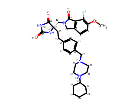 COc1ccc2c(c1F)C(=O)N(C[C@]1(CCc3ccc(CN4CCN(C5CCCCC5)CC4)cc3)NC(=O)NC1=O)C2